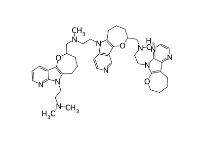 CN(C)CCn1c2c(c3cccnc31)OC(CN(C)CCn1c3c(c4cnccc41)OC(CN(C)CCn1c4c(c5nccnc51)CCCCO4)CCC3)CCC2